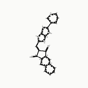 O=C1C(=Cc2nc3sc(-c4cccnc4)nc3o2)C(=O)c2cc3ccccc3cc21